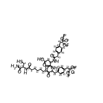 NC(=O)C(CS)NC(=O)CCCCCNC(=O)C(Cc1ccc(CP(=O)(OF)OF)cc1)NC(=O)C(CC(=O)O)NC(=O)Cc1ccc(CP(=O)(OF)OF)cc1